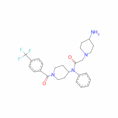 NC1CCN(CC(=O)N(c2ccccc2)C2CCN(C(=O)c3ccc(C(F)(F)F)cc3)CC2)CC1